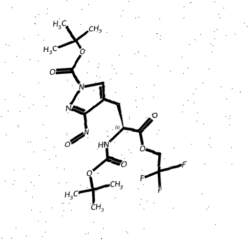 CC(C)(C)OC(=O)N[C@@H](Cc1cn(C(=O)OC(C)(C)C)nc1N=O)C(=O)OCC(F)(F)F